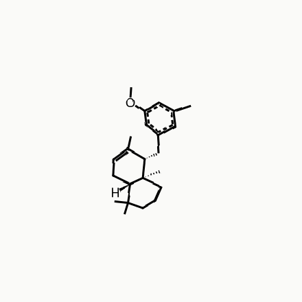 COc1cc(C)cc(C[C@H]2C(C)=CC[C@H]3C(C)(C)CCC[C@]23C)c1